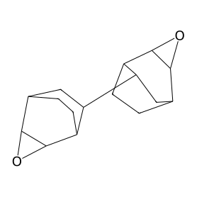 C1CC2C(C3CC4CCC3C3OC43)CC1C1OC21